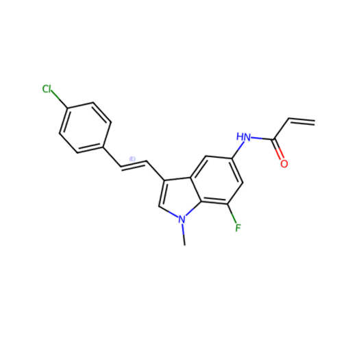 C=CC(=O)Nc1cc(F)c2c(c1)c(/C=C/c1ccc(Cl)cc1)cn2C